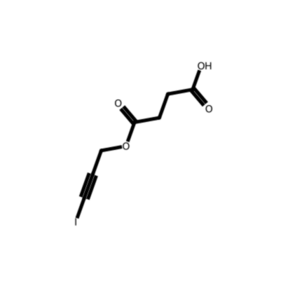 O=C(O)CCC(=O)OCC#CI